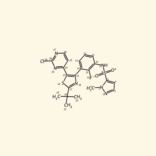 Cn1nccc1S(=O)(=O)Nc1cccc(-c2nc(C(C)(C)C)sc2-c2ccnc(Cl)n2)c1F